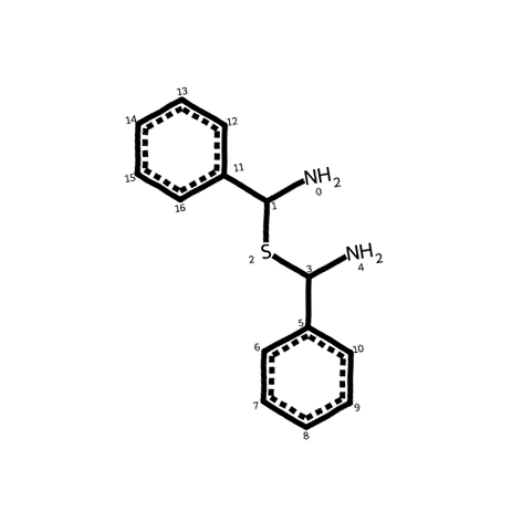 NC(SC(N)c1ccccc1)c1ccccc1